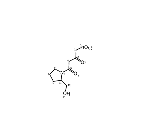 CCCCCCCCCC(=O)CC(=O)N1CCCC1CO